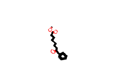 COC(=O)CCCCCCC(=O)c1ccccc1